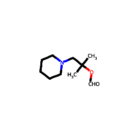 CC(C)(CN1CCCCC1)OC=O